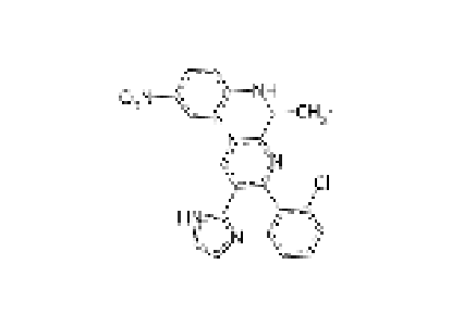 [CH2]C(Nc1ccc([N+](=O)[O-])cn1)c1ncc(-c2ncc[nH]2)c(-c2ccccc2Cl)n1